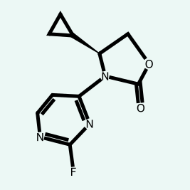 O=C1OC[C@H](C2CC2)N1c1ccnc(F)n1